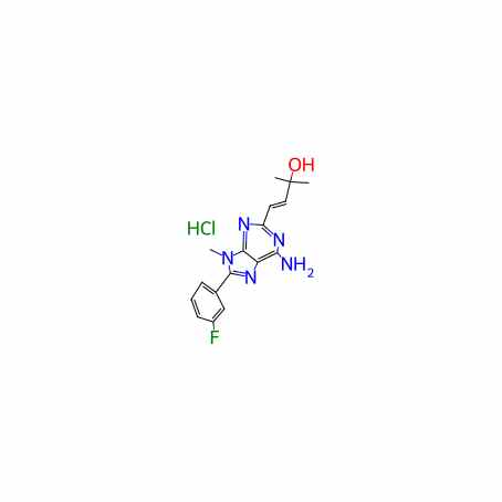 Cl.Cn1c(-c2cccc(F)c2)nc2c(N)nc(C=CC(C)(C)O)nc21